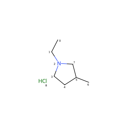 CCN1CCC(C)C1.Cl